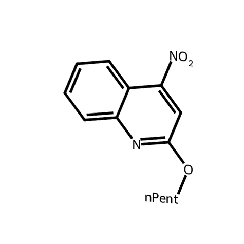 CCCCCOc1cc([N+](=O)[O-])c2ccccc2n1